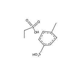 CCS(=O)(=O)O.Cc1ccc(S(=O)(=O)O)cc1